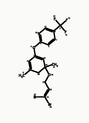 CC1=CC(Oc2ccc(C(F)(F)F)cn2)=CC(C)(OCC=C(Br)Br)C1